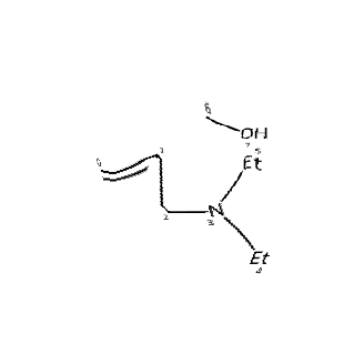 C=CCN(CC)CC.CO